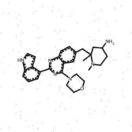 CN1CCC(N)CC1(C)Cc1ccc2nc(-c3cccc4[nH]ccc34)nc(N3CCOCC3)c2c1